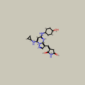 O=C1CC(=Cc2cnn3c(NC4CC4)cc(NC4CCC(O)CC4)nc23)C(=O)N1